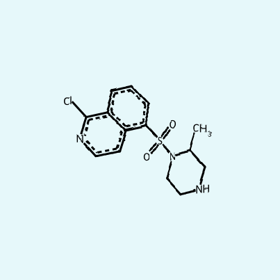 CC1CNCCN1S(=O)(=O)c1cccc2c(Cl)nccc12